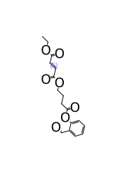 CCOC(=O)/C=C/C(=O)OCCCC(=O)Oc1ccccc1C=O